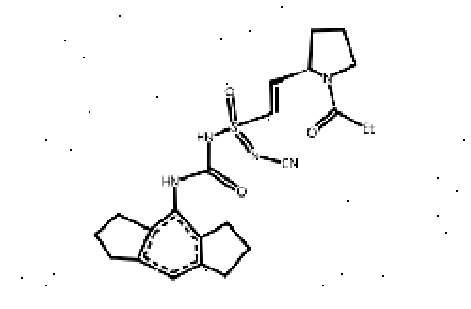 CCC(=O)N1CCC[C@@H]1/C=C/S(=O)(=NC#N)NC(=O)Nc1c2c(cc3c1CCC3)CCC2